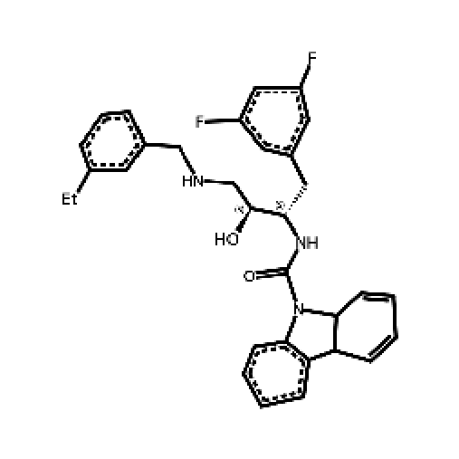 CCc1cccc(CNC[C@H](O)[C@H](Cc2cc(F)cc(F)c2)NC(=O)N2c3ccccc3C3C=CC=CC32)c1